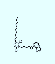 CCCCCCCCCC=C1SC(=O)N(CCCCOc2cccn3ccnc23)C1=O